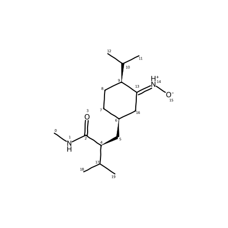 CNC(=O)[C@@H](C[C@H]1CC[C@@H](C(C)C)C(=[NH+][O-])C1)C(C)C